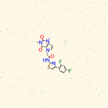 Cn1c(=O)c2c(ccn2CC(=O)Nc2nc(-c3ccc(F)cc3F)cs2)n(C)c1=O